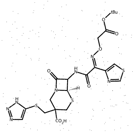 CC(C)(C)OC(=O)CON=C(C(=O)NC1C(=O)N2CC(CSc3cnn[nH]3)(C(=O)O)CS[C@H]12)c1cscn1